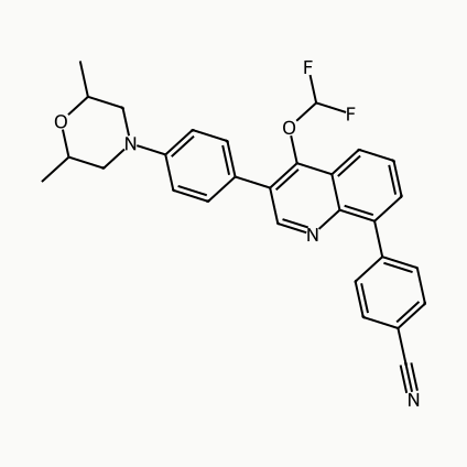 CC1CN(c2ccc(-c3cnc4c(-c5ccc(C#N)cc5)cccc4c3OC(F)F)cc2)CC(C)O1